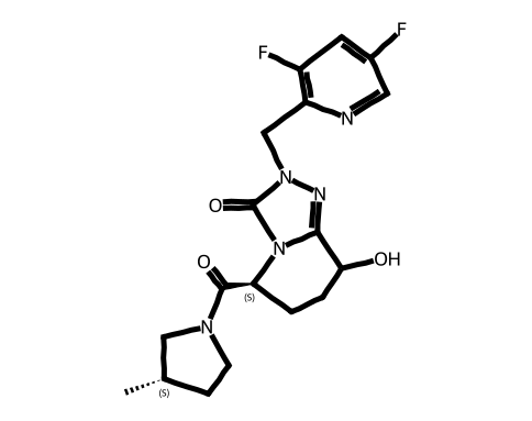 C[C@H]1CCN(C(=O)[C@@H]2CCC(O)c3nn(Cc4ncc(F)cc4F)c(=O)n32)C1